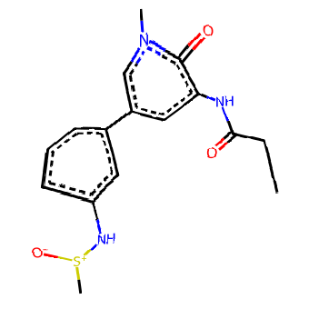 CCC(=O)Nc1cc(-c2cccc(N[S+](C)[O-])c2)cn(C)c1=O